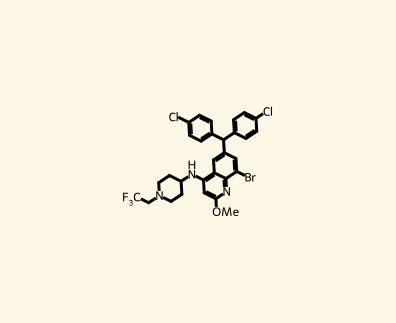 COc1cc(NC2CCN(CC(F)(F)F)CC2)c2cc(C(c3ccc(Cl)cc3)c3ccc(Cl)cc3)cc(Br)c2n1